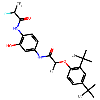 CCC(Oc1ccc(C(C)(C)CC)cc1C(C)(C)CC)C(=O)Nc1ccc(NC(=O)C(F)C(F)(F)F)c(O)c1